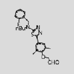 CCCCN(Cc1ccccc1F)c1nnc(-c2cc(C)c(OCC=O)c(C)c2)s1